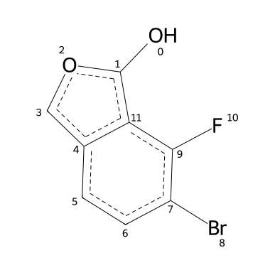 Oc1occ2ccc(Br)c(F)c12